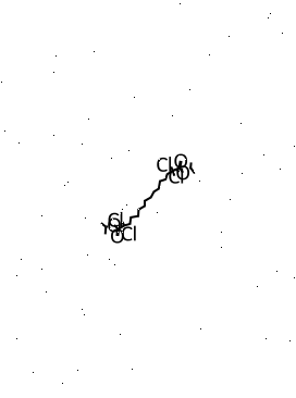 CC(C)OC(=O)C(Cl)(Cl)CCCCCCCCCCCCC(Cl)(Cl)C(=O)OC(C)C